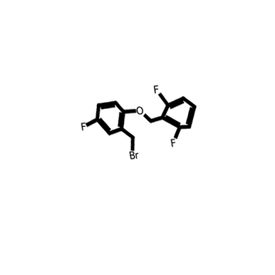 Fc1ccc(OCc2c(F)cccc2F)c(CBr)c1